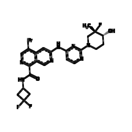 CC(C)c1cnc(C(=O)NC2CC(F)(F)C2)c2cnc(Nc3ccnc(N4CC[C@@H](O)[C@@](C)(F)C4)n3)cc12